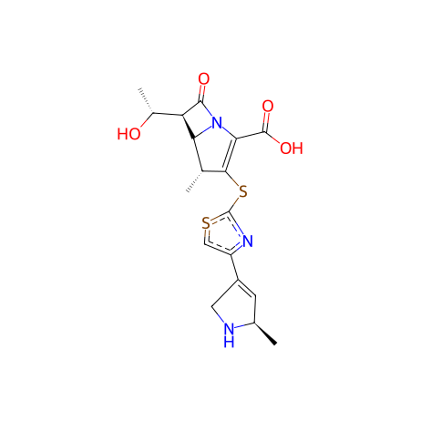 C[C@@H]1C=C(c2csc(SC3=C(C(=O)O)N4C(=O)[C@H]([C@@H](C)O)C4[C@H]3C)n2)CN1